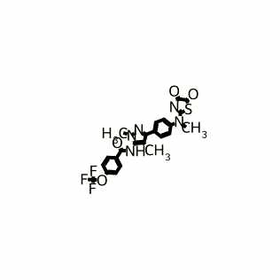 Cc1c(-c2ccc(N(C)C3=NC(=O)C(=O)S3)cc2)nn(C)c1NC(=O)c1ccc(OC(F)(F)F)cc1